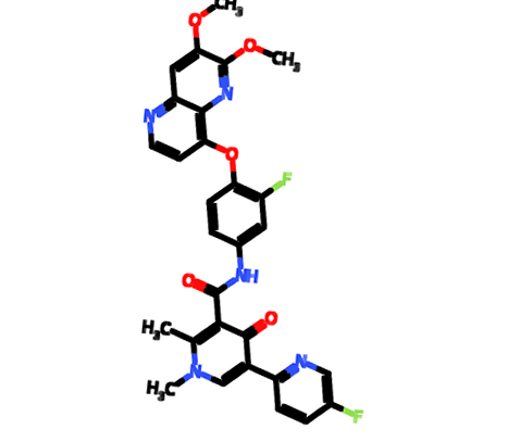 COc1cc2nccc(Oc3ccc(NC(=O)c4c(C)n(C)cc(-c5ccc(F)cn5)c4=O)cc3F)c2nc1OC